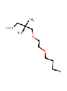 CC(C)(COCCOCCCI)CC(=O)O